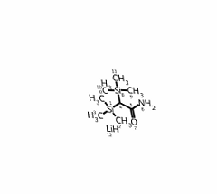 C[Si](C)(C)C(C(N)=O)[Si](C)(C)C.[LiH]